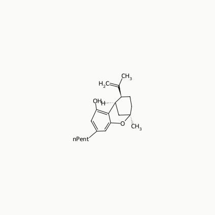 C=C(C)[C@H]1CC[C@]2(C)C[C@H]1c1c(O)cc(CCCCC)cc1O2